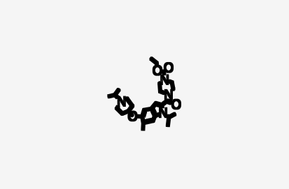 CCOC(=O)N1CCN(C(=O)c2cc3cc(OC4CCN(C(C)C)CC4)c(C)cc3n2C(C)C)CC1